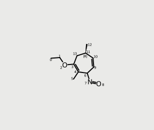 CCOC1=C(C)C(N=O)C=C[C@H](C)C1